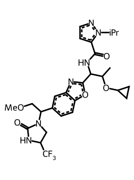 COCC(c1ccc2oc(C(NC(=O)c3ccnn3C(C)C)C(C)OC3CC3)nc2c1)N1CC(C(F)(F)F)NC1=O